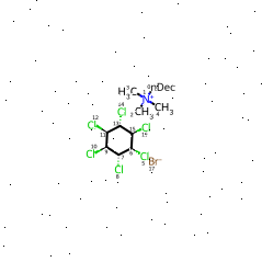 CCCCCCCCCC[N+](C)(C)C.Cl[C@H]1[C@H](Cl)[C@@H](Cl)[C@@H](Cl)[C@H](Cl)[C@H]1Cl.[Br-]